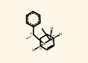 C[C@H](c1ccccc1)N1[C@@H]2C=C[C@@H](CC2)[C@H]1C